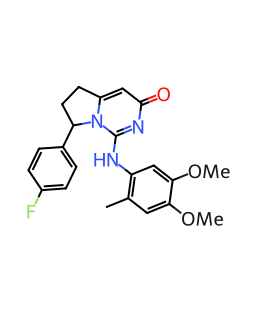 COc1cc(C)c(Nc2nc(=O)cc3n2C(c2ccc(F)cc2)CC3)cc1OC